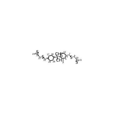 CC(C)(c1ccc(CSCC2CS2)cc1)c1ccc(CSCC2CS2)cc1